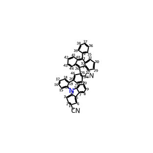 N#Cc1ccc2c(c1)c1ccccc1n2-c1ccccc1-c1ccc(C#N)c(-c2c3ccccc3c(-c3ccccc3)c3ccccc23)c1